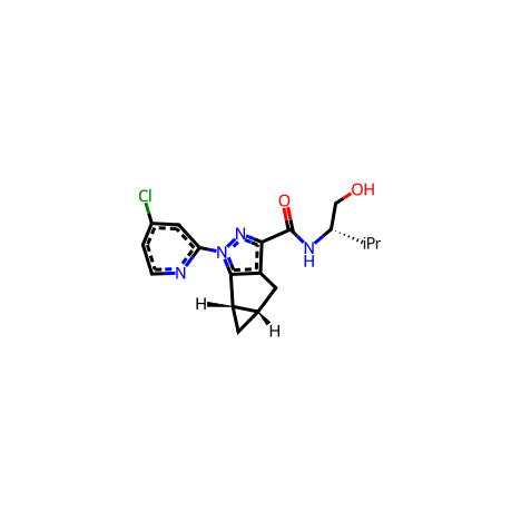 CC(C)[C@@H](CO)NC(=O)c1nn(-c2cc(Cl)ccn2)c2c1C[C@@H]1C[C@H]21